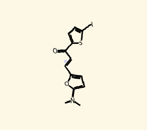 CN(C)c1ccc(/C=C/C(=O)c2ccc(I)s2)o1